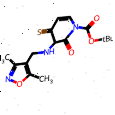 Cc1noc(C)c1CNC1C(=O)N(C(=O)OC(C)(C)C)C=CC1=S